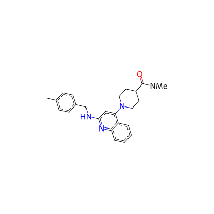 CNC(=O)C1CCN(c2cc(NCc3ccc(C)cc3)nc3ccccc23)CC1